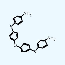 Nc1ccc(Sc2ccc(Oc3ccc(Sc4ccc(N)cc4)cc3)cc2)cc1